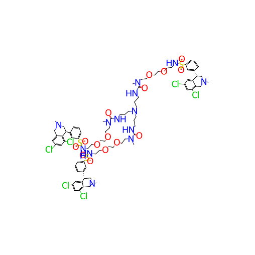 CN1Cc2c(Cl)cc(Cl)cc2[C@H](c2cccc(S(=O)(=O)NCCOCCOCCN(C)C(=O)NCCCN(CCCNC(=O)N(C)CCOCCOCCNS(=O)(=O)c3cccc([C@@H]4CN(C)Cc5c(Cl)cc(Cl)cc54)c3)CCCNC(=O)N(C)CCOCCOCCNS(=O)(=O)c3cccc([C@@H]4CN(C)Cc5cc(Cl)cc(Cl)c54)c3)c2)C1